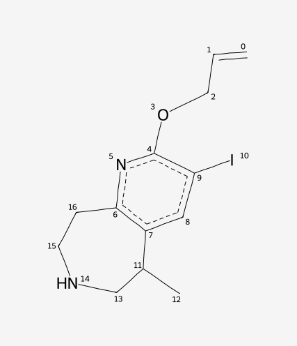 C=CCOc1nc2c(cc1I)C(C)CNCC2